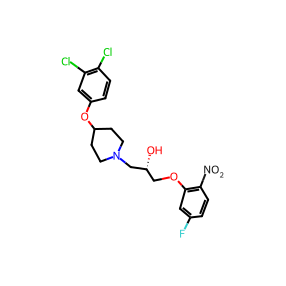 O=[N+]([O-])c1ccc(F)cc1OC[C@@H](O)CN1CCC(Oc2ccc(Cl)c(Cl)c2)CC1